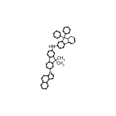 CC1(C)c2cc(Nc3ccc4c(c3)C(c3ccccc3)(c3ccccc3)C3CC=CC=C43)ccc2-c2ccc(-n3ccc4c5ccccc5ccc43)cc21